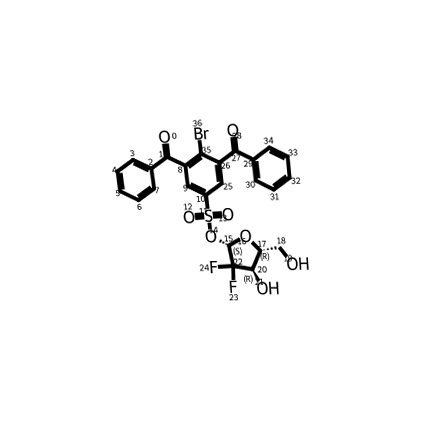 O=C(c1ccccc1)c1cc(S(=O)(=O)O[C@@H]2O[C@H](CO)[C@@H](O)C2(F)F)cc(C(=O)c2ccccc2)c1Br